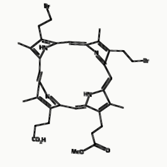 COC(=O)CCc1c(C)c2cc3nc(cc4[nH]c(cc5nc(cc1[nH]2)C(CCC(=O)O)=C5C)c(C)c4CCBr)C(C)=C3CCBr